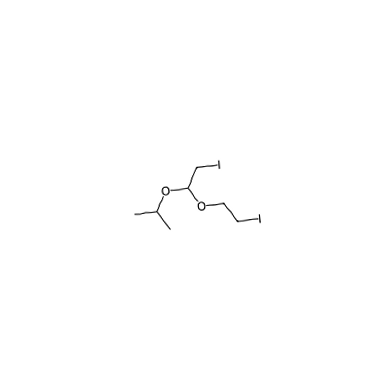 CC(C)OC(CI)OCCI